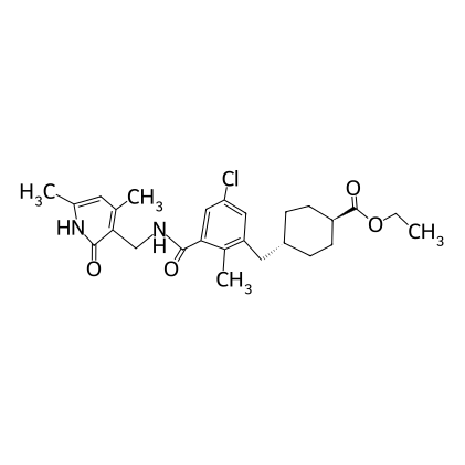 CCOC(=O)[C@H]1CC[C@H](Cc2cc(Cl)cc(C(=O)NCc3c(C)cc(C)[nH]c3=O)c2C)CC1